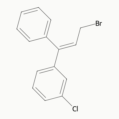 Clc1cccc(C(=CCBr)c2ccccc2)c1